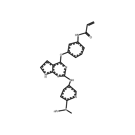 C=CC(=O)Nc1cccc(Oc2nc(Nc3ccc(N(C)CCC)nc3)nc3[nH]ccc23)c1